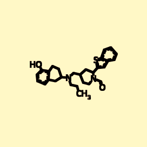 CCCN(CC1CCN(C=O)C(c2cc3ccccc3s2)C1)C1CCc2c(O)cccc2C1